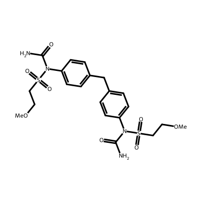 COCCS(=O)(=O)N(C(N)=O)c1ccc(Cc2ccc(N(C(N)=O)S(=O)(=O)CCOC)cc2)cc1